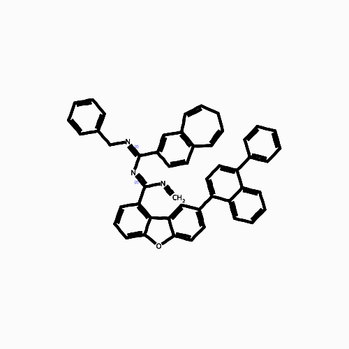 C=N/C(=N\C(=N/Cc1ccccc1)c1ccc2c(c1)C=CCC=C2)c1cccc2oc3ccc(-c4ccc(-c5ccccc5)c5ccccc45)cc3c12